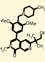 COc1cc(-c2cn(C)c(=O)c3cnc(C(C)(C)CO)cc23)cc(OC)c1CN1CCC(C)CC1